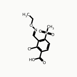 CCON=Cc1c(S(C)(=O)=O)ccc(C(=O)O)c1Cl